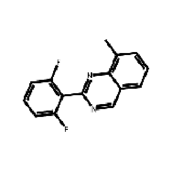 Cc1cccc2cnc(-c3c(F)cccc3F)nc12